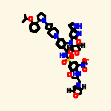 CC(C)Oc1ccccc1[C@@H]1CCCN1C1CC2(CCN(c3ccc(C(=O)NS(=O)(=O)c4cc5c(c([N+](=O)[O-])c4)N[C@@H](CN4C[C@@H]6C[C@H]4CO6)CO5)c(N4c5cc6cc[nH]c6nc5O[C@@H]5COC[C@H]54)c3)CC2)C1